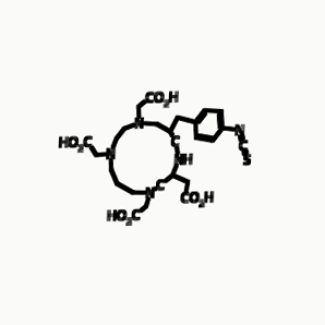 O=C(O)CC1CN(CC(=O)O)CCCN(CC(=O)O)CCN(CC(=O)O)CC(Cc2ccc(N=C=S)cc2)CN1